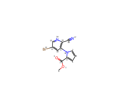 COC(=O)c1cccn1-c1cc(Br)cnc1C#N